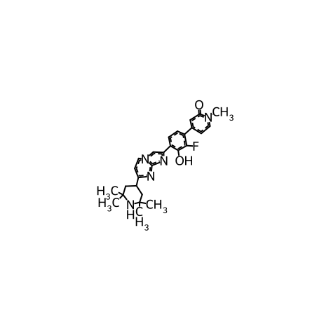 Cn1ccc(-c2ccc(-c3cn4ccc(C5CC(C)(C)NC(C)(C)C5)nc4n3)c(O)c2F)cc1=O